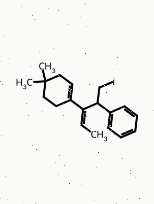 CC=C(C1=CCC(C)(C)CC1)C(CI)c1ccccc1